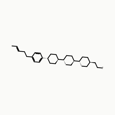 CC=CCCc1ccc([C@H]2CC[C@H]([C@H]3CC[C@H]([C@H]4CC[C@H](CCF)CC4)CC3)CC2)cc1